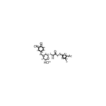 CC(=O)c1sc(SCC(=O)NC[C@H]2CN(Cc3ccc(Cl)c(Cl)c3)CCO2)nc1C.Cl